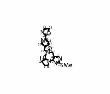 CSc1ncc2c(n1)N1CCC[C@H]1C[N+]([O-])(Cc1ccc(-c3ncco3)nc1)C2